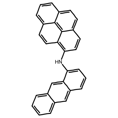 c1ccc2cc3c(Nc4ccc5ccc6cccc7ccc4c5c67)cccc3cc2c1